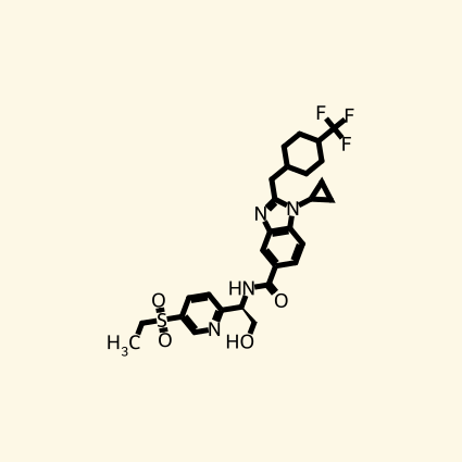 CCS(=O)(=O)c1ccc([C@H](CO)NC(=O)c2ccc3c(c2)nc(CC2CCC(C(F)(F)F)CC2)n3C2CC2)nc1